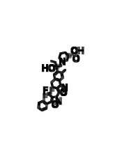 CC[C@@](O)(CN1CCC[C@H](C(=O)O)C1)c1cc2c(cc1C)-c1noc(-c3noc(-c4ccccc4)c3C(F)(F)F)c1CC2